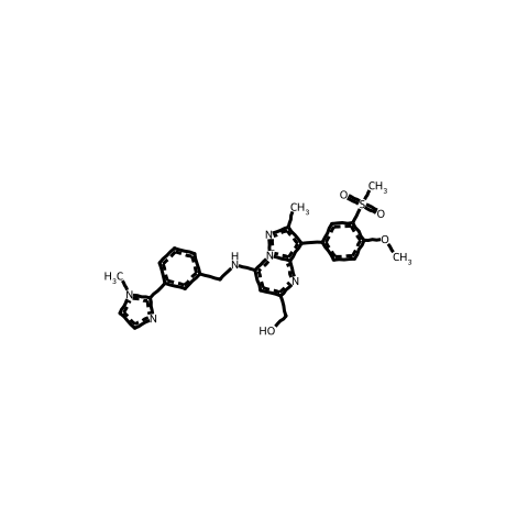 COc1ccc(-c2c(C)nn3c(NCc4cccc(-c5nccn5C)c4)cc(CO)nc23)cc1S(C)(=O)=O